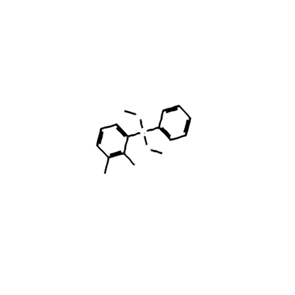 CO[Si](OC)(c1ccccc1)c1cccc(C)c1C